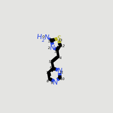 Nc1nc(/C=C/c2ccncn2)cs1